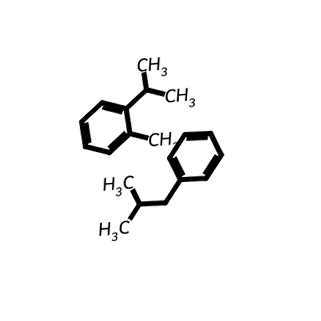 CC(C)Cc1ccccc1.Cc1ccccc1C(C)C